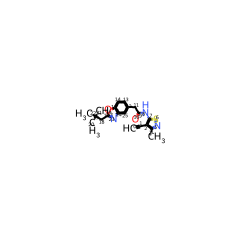 C#Cc1c(C)nsc1NC(=O)Cc1ccc2oc(CC(C)(C)C)nc2c1